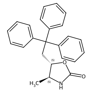 C[C@@H]1NC(=O)O[C@H]1CC(c1ccccc1)(c1ccccc1)c1ccccc1